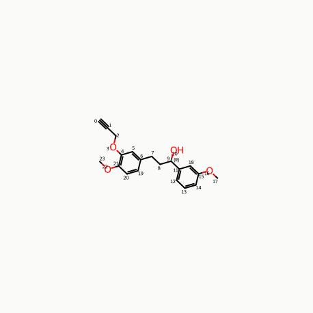 C#CCOc1cc(CC[C@@H](O)c2cccc(OC)c2)ccc1OC